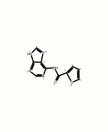 O=C(Nc1ncnc2[nH]cnc12)c1ccco1